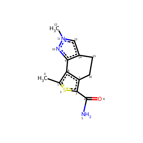 Cc1sc(C(N)=O)c2c1-c1nn(C)cc1CC2